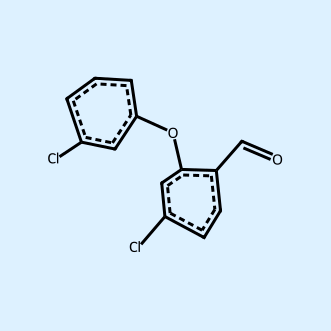 O=Cc1ccc(Cl)cc1Oc1cccc(Cl)c1